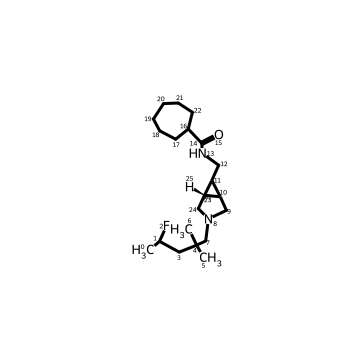 CC(F)CC(C)(C)CN1CC2C(CNC(=O)C3CCCCCC3)[C@H]2C1